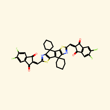 O=C1C(=Cc2nc3c(s2)C2=C(c4sc(C=C5C(=O)c6cc(F)c(F)cc6C5=O)nc4C24CCCCC4)C32CCCCC2)C(=O)c2cc(F)c(F)cc21